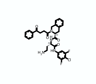 NCC[C@H](NC(=O)[C@@H]1Cc2ccccc2CN1C(=O)CCC(=O)c1ccccc1)C(=O)Nc1cc(F)c(Cl)c(F)c1